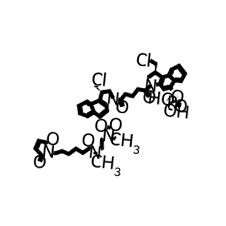 CN(CCN(C)C(=O)Oc1cc2c(c3ccccc13)[C@H](CCl)CN2C(=O)CCCC(=O)N1C[C@@H](CCl)c2c1cc(OP(=O)(O)O)c1ccccc21)C(=O)CCCCCN1C(=O)C=CC1=O